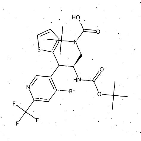 CC(C)(C)OC(=O)N[C@H](CN(C(=O)O)C(C)(C)C)C(c1nccs1)c1cnc(C(F)(F)F)cc1Br